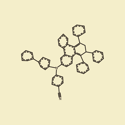 N#Cc1ccc(N(c2ccc(-c3ccccc3)cc2)c2ccc3c4c(c5ccccc5c3c2)=C(c2ccccc2)CC(c2ccccc2)C=4c2ccccc2)cc1